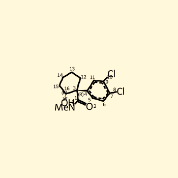 CNC(=O)[C@@]1(c2ccc(Cl)c(Cl)c2)CCCC[C@H]1O